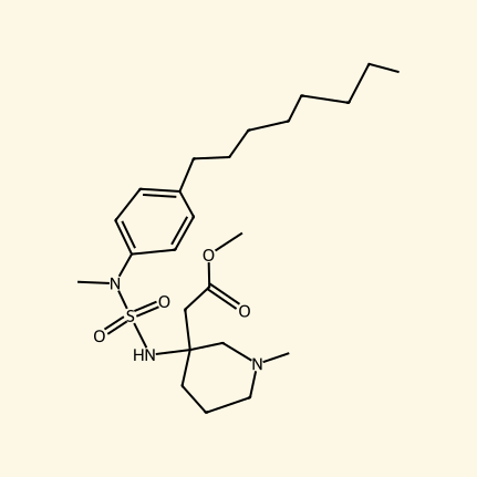 CCCCCCCCc1ccc(N(C)S(=O)(=O)NC2(CC(=O)OC)CCCN(C)C2)cc1